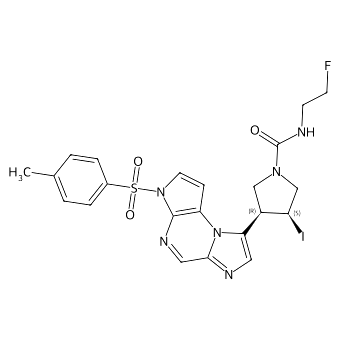 Cc1ccc(S(=O)(=O)n2ccc3c2ncc2ncc([C@H]4CN(C(=O)NCCF)C[C@H]4I)n23)cc1